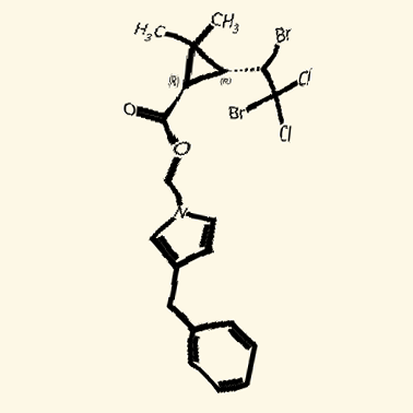 CC1(C)[C@H](C(=O)OCn2ccc(Cc3ccccc3)c2)[C@H]1C(Br)C(Cl)(Cl)Br